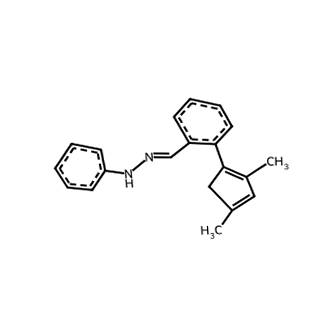 CC1=CC(C)=C(c2ccccc2C=NNc2ccccc2)C1